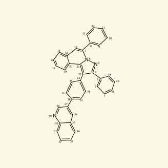 c1ccc(-c2nn3c(-c4ccccc4)cc4ccccc4c3c2-c2ccc(-c3cnc4ccccc4c3)cc2)cc1